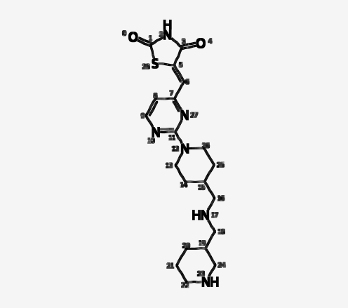 O=C1NC(=O)/C(=C/c2ccnc(N3CCC(CNCC4CCCNC4)CC3)n2)S1